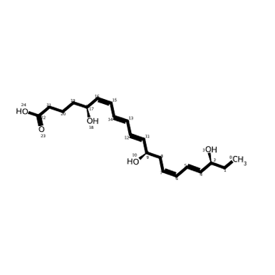 CC[C@H](O)/C=C/C=C\C[C@@H](O)/C=C/C=C/C=C\[C@@H](O)CCCC(=O)O